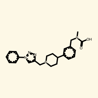 CN(Cc1cccc(C2CCN(Cc3cn(-c4ccccc4)nn3)CC2)c1)C(=O)O